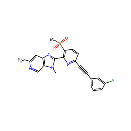 CCS(=O)(=O)c1ccc(C#Cc2cccc(F)c2)nc1-c1nc2cc(C(F)(F)F)ncc2n1C